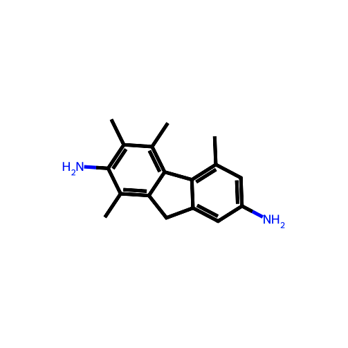 Cc1cc(N)cc2c1-c1c(C)c(C)c(N)c(C)c1C2